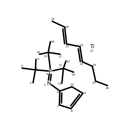 CC(C)(C)P(=NC1=CC=CC1)(C(C)(C)C)C(C)(C)C.CC=CC=CCCC.[Ti]